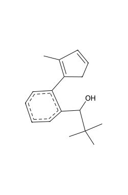 CC1=C(c2ccccc2C(O)C(C)(C)C)CC=C1